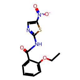 CCOc1ccccc1C(=O)Nc1ncc([N+](=O)[O-])s1